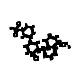 CS(=O)(=O)c1cccc(-c2ccc(Cl)c(-c3ncnc4c(C(F)(F)F)cccc34)c2)c1